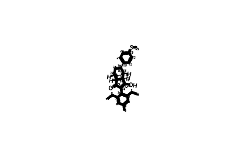 CCc1cc(C)cc(CC)c1C1=C(O)[C@@H]2[C@@H]3O[C@@H](C[C@H]3c3ccc(SC)cc3)[C@@H]2C1=O